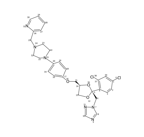 Clc1ccc([C@]2(Cn3cncn3)OC[C@@H](COc3ccc(N4CCN(Cc5ccccn5)CC4)cc3)O2)c(Cl)c1